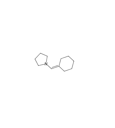 C(=C1CCCCC1)N1CCCC1